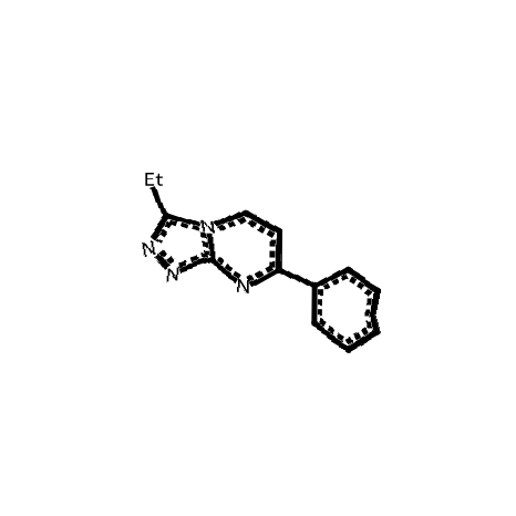 CCc1nnc2nc(-c3ccccc3)ccn12